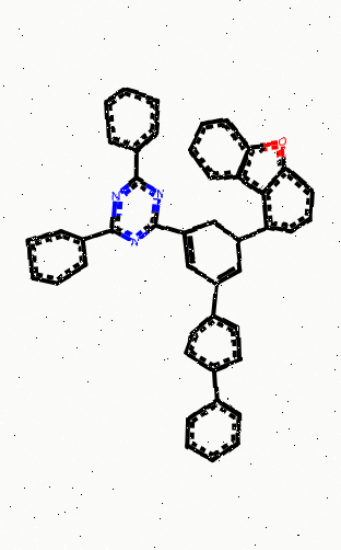 C1=C(c2ccc(-c3ccccc3)cc2)C=C(c2nc(-c3ccccc3)nc(-c3ccccc3)n2)CC1c1cccc2oc3ccccc3c12